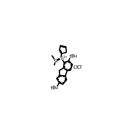 C[Si](C)=[Ti+2]([C]1=CC=CC1)[c]1c(C(C)(C)C)ccc2c1Cc1cc(C(C)(C)C)ccc1-2.[Cl-].[Cl-]